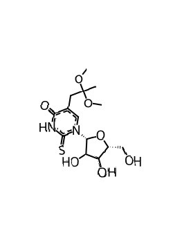 COC(C)(Cc1cn([C@@H]2O[C@H](CO)C(O)C2O)c(=S)[nH]c1=O)OC